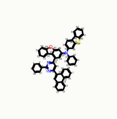 c1ccc(-c2nc(-c3cc4ccccc4c4ccccc34)cc(-c3cc(N(c4ccccc4)c4ccc5c(c4)sc4ccccc45)cc4oc5ccccc5c34)n2)cc1